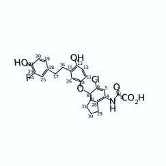 O=C(O)C(=O)Nc1cc(Cl)c(Oc2ccc(O)c(CCc3ccc(O)c(F)c3)c2)c2c1CCC2